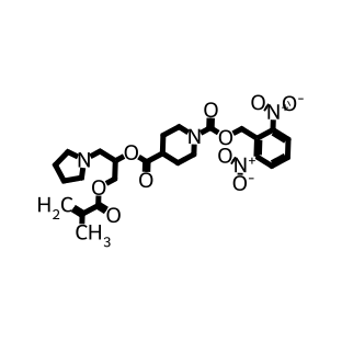 C=C(C)C(=O)OCC(CN1CCCC1)OC(=O)C1CCN(C(=O)OCc2c([N+](=O)[O-])cccc2[N+](=O)[O-])CC1